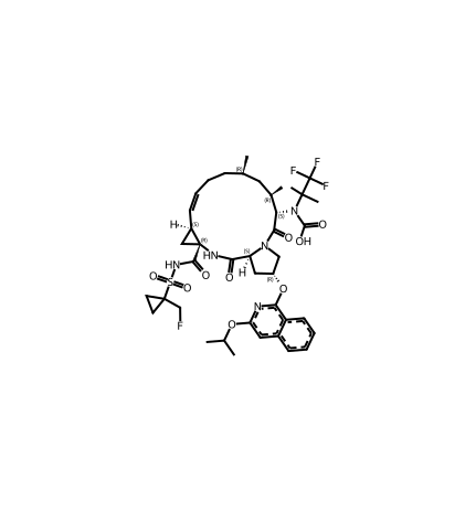 CC(C)Oc1cc2ccccc2c(O[C@@H]2C[C@H]3C(=O)N[C@]4(C(=O)NS(=O)(=O)C5(CF)CC5)C[C@H]4C=CCC[C@@H](C)C[C@@H](C)[C@H](N(C(=O)O)C(C)(C)C(F)(F)F)C(=O)N3C2)n1